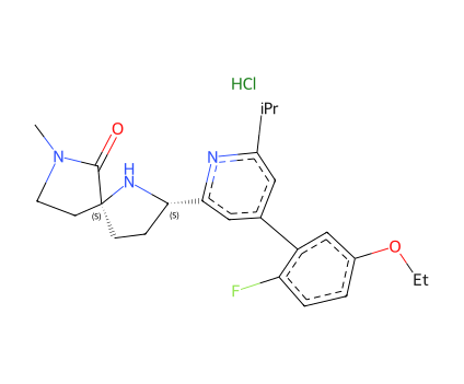 CCOc1ccc(F)c(-c2cc(C(C)C)nc([C@@H]3CC[C@@]4(CCN(C)C4=O)N3)c2)c1.Cl